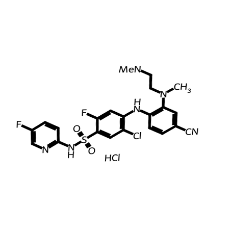 CNCCN(C)c1cc(C#N)ccc1Nc1cc(F)c(S(=O)(=O)Nc2ccc(F)cn2)cc1Cl.Cl